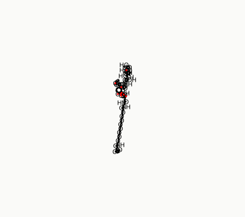 CCN(C(C)=O)[C@H]1CO[C@@H](O[C@H]2[C@H](O[C@H]3C#C/C=C\C#C[C@]4(O)CC(=O)C(NC(=O)OC)=C3/C4=C\CSSC(C)(C)CCC(=O)NCCNC(=O)CCOCCOCCOCCOCCOCCOCCOCCOCCNC(=O)CCN3C(=O)C=CC3=O)O[C@H](C)[C@@H](NO[C@H]3C[C@H](O)[C@H]([SH]=C(O)c4c(C)c(I)c(O[C@@H]5O[C@@H](C)[C@H](O)[C@@H](OC)[C@H]5O)c(OC)c4OC)[C@@H](C)O3)[C@@H]2O)C[C@@H]1OC